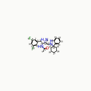 CC(=O)N[C@@H](Cc1cc(F)cc(F)c1)[C@H](N)CNC1(c2ccccc2)CCCCC1